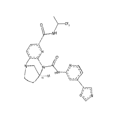 CC(NC(=O)c1ccc2c(n1)N(C(=O)Nc1cc(-c3cnco3)ccn1)[C@H]1CCN2C1)C(F)(F)F